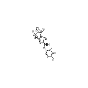 Cc1ccc(CNc2nc3nc(C)c(Cl)c(C)n3n2)cc1